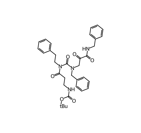 CC(C)(C)OC(=O)NCCC(=O)N(CCc1ccccc1)C(=O)N(CC(=O)C(=O)NCc1ccccc1)Cc1ccccc1